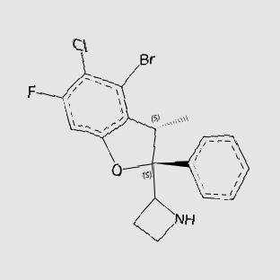 C[C@H]1c2c(cc(F)c(Cl)c2Br)O[C@@]1(c1ccccc1)C1CCN1